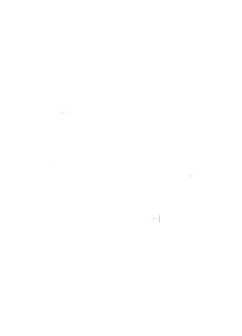 CC1CC(C(=O)Cl)CCC1Cl